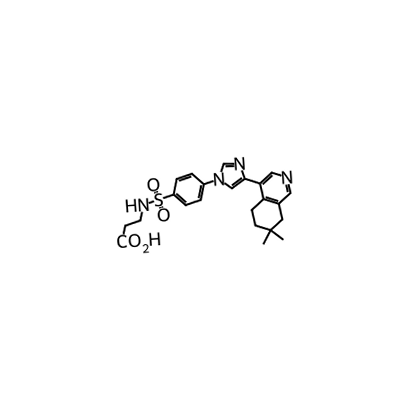 CC1(C)CCc2c(cncc2-c2cn(-c3ccc(S(=O)(=O)NCCC(=O)O)cc3)cn2)C1